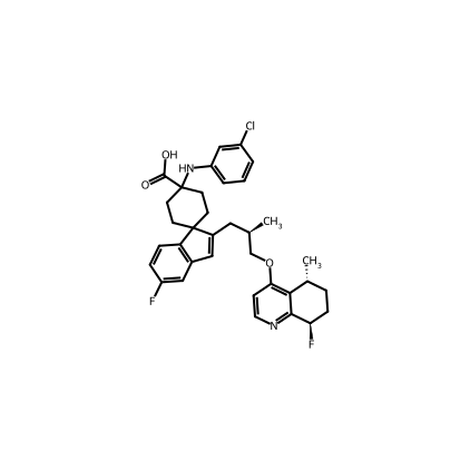 C[C@@H](COc1ccnc2c1[C@H](C)CC[C@H]2F)CC1=Cc2cc(F)ccc2C12CCC(Nc1cccc(Cl)c1)(C(=O)O)CC2